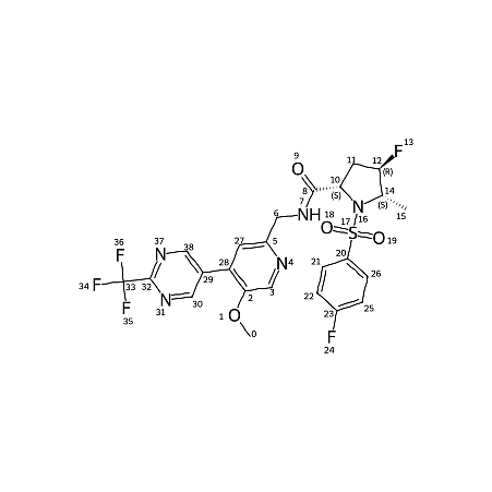 COc1cnc(CNC(=O)[C@@H]2C[C@@H](F)[C@H](C)N2S(=O)(=O)c2ccc(F)cc2)cc1-c1cnc(C(F)(F)F)nc1